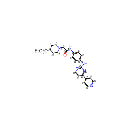 CCOC(=O)C1CCN(CC(=O)Nc2ccc(Nc3nccc(-c4ccncc4)n3)cc2)CC1